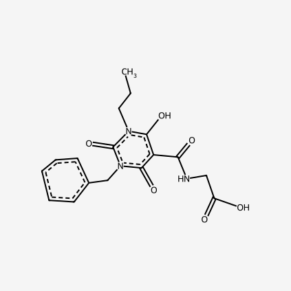 CCCn1c(O)c(C(=O)NCC(=O)O)c(=O)n(Cc2ccccc2)c1=O